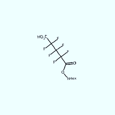 CCCCCCOC(=O)C(F)(F)C(F)(F)C(F)(F)C(=O)O